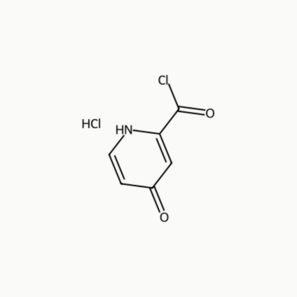 Cl.O=C(Cl)c1cc(=O)cc[nH]1